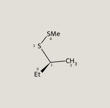 CC[C@H](C)SSC